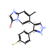 Cc1cc2ncc(Br)n2cc1-c1c[nH]nc1-c1ccc(F)cc1